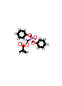 C=C(C)C(=O)OCP(=O)(Oc1ccccc1)Oc1ccccc1